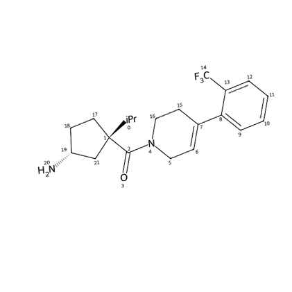 CC(C)[C@]1(C(=O)N2CC=C(c3ccccc3C(F)(F)F)CC2)CC[C@@H](N)C1